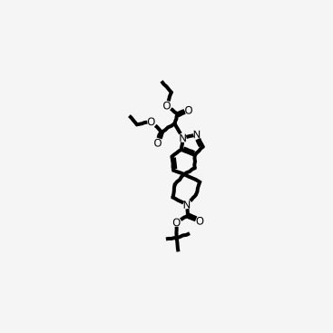 CCOC(=O)C(C(=O)OCC)n1ncc2c1C=CC1(CCN(C(=O)OC(C)(C)C)CC1)C2